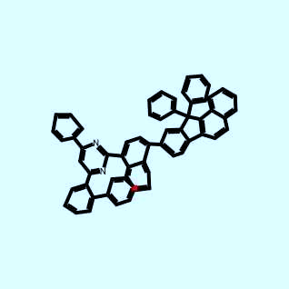 c1ccc(-c2cc(-c3ccccc3-c3ccccc3)nc(-c3ccc(-c4ccc5c(c4)C(c4ccccc4)(c4ccccc4)c4c-5ccc5ccccc45)c4ccccc34)n2)cc1